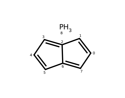 C1=CC2=CC=CC2=C1.P